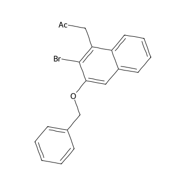 CC(=O)Cc1c(Br)c(OCc2ccccc2)cc2ccccc12